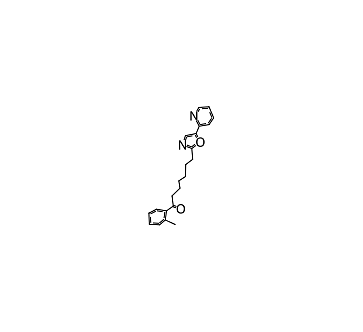 Cc1ccccc1C(=O)CCCCCCc1ncc(-c2ccccn2)o1